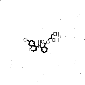 CCC(O)COC(=O)c1ccccc1Nc1ccnc2cc(Cl)ccc12